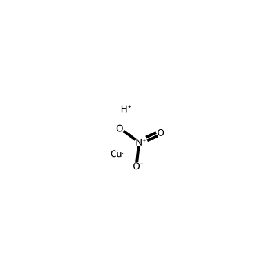 O=[N+]([O-])[O-].[Cu].[H+]